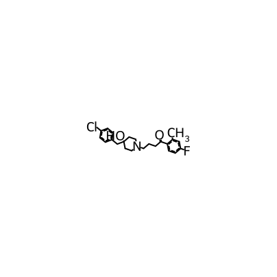 Cc1cc(F)ccc1C(=O)CCCN1CCC(O)(Cc2ccc(Cl)cc2)CC1